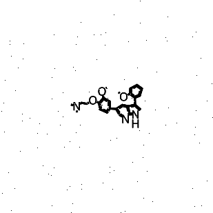 COc1cc(-c2cnc3[nH]cc(-c4ccccc4OC)c3c2)ccc1OCCN(C)C